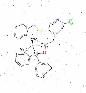 CC(C)(C)[Si](OCCc1cc(Cl)ncc1SCc1ccccc1)(c1ccccc1)c1ccccc1